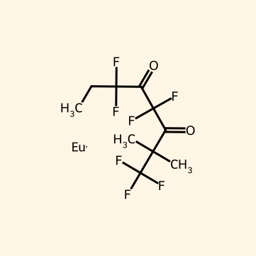 CCC(F)(F)C(=O)C(F)(F)C(=O)C(C)(C)C(F)(F)F.[Eu]